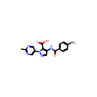 Bc1ccc(C(=O)Nc2cnn(-c3cnc(C)nc3)c2C(=O)O)cc1